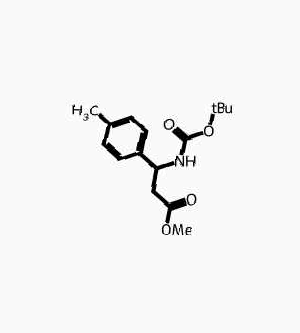 COC(=O)CC(NC(=O)OC(C)(C)C)c1ccc(C)cc1